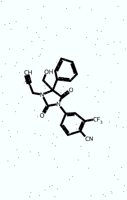 C#CCN1C(=O)N(c2ccc(C#N)c(C(F)(F)F)c2)C(=O)C1(CO)c1ccccc1